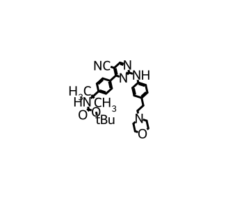 CC(C)(C)OC(=O)NC(C)(C)c1ccc(-c2nc(Nc3ccc(CCN4CCOCC4)cc3)ncc2C#N)cc1